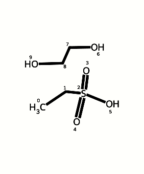 CCS(=O)(=O)O.OCCO